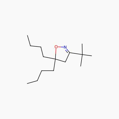 CCCCC1(CCCC)CC(C(C)(C)C)=NO1